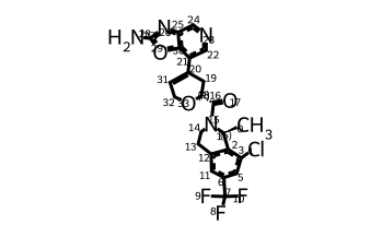 C[C@H]1c2c(Cl)cc(C(F)(F)F)cc2CCN1C(=O)[C@H]1CC(c2cncc3nc(N)oc23)=CCO1